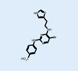 O=C(O)c1ccc(Nc2ncc(Br)c(NCCc3c[nH]cn3)n2)cc1